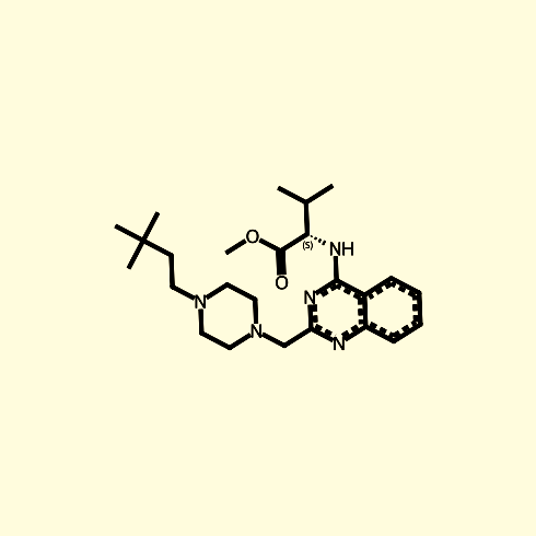 COC(=O)[C@@H](Nc1nc(CN2CCN(CCC(C)(C)C)CC2)nc2ccccc12)C(C)C